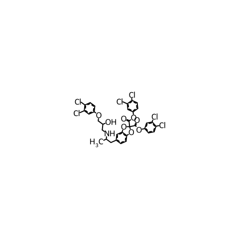 CC(Cc1ccc2c(c1)OC(C(=O)Oc1ccc(Cl)c(Cl)c1)(C(=O)Oc1ccc(Cl)c(Cl)c1)O2)NCC(O)COc1ccc(Cl)c(Cl)c1